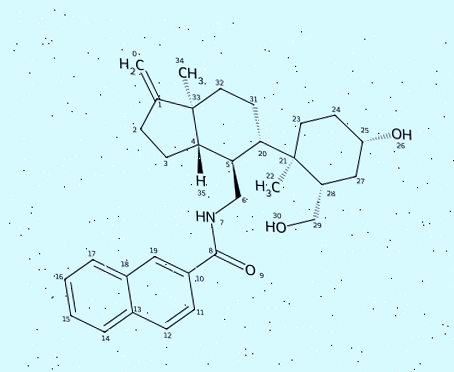 C=C1CC[C@H]2[C@H](CNC(=O)c3ccc4ccccc4c3)[C@@H]([C@@]3(C)CC[C@H](O)C[C@@H]3CO)CC[C@]12C